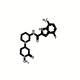 Cc1ccc(F)c2cc(C(=O)NC3CCCN(C4CCN(C)C(=O)C4)C3)[nH]c12